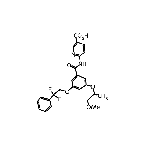 COC[C@H](C)Oc1cc(OCC(F)(F)c2ccccc2)cc(C(=O)Nc2ccc(C(=O)O)cn2)c1